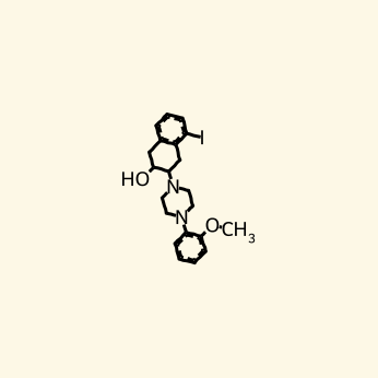 COc1ccccc1N1CCN(C2Cc3c(I)cccc3CC2O)CC1